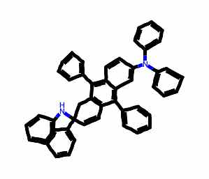 C1=CC(Nc2ccccc2)(c2ccccc2)Cc2c1c(-c1ccccc1)c1cc(N(c3ccccc3)c3ccccc3)ccc1c2-c1ccccc1